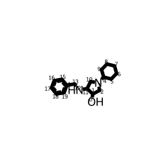 OC1CN(C2CCCCC2)CC1NCc1ccccc1